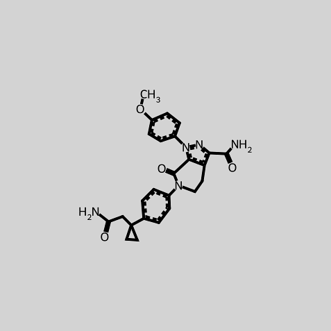 COc1ccc(-n2nc(C(N)=O)c3c2C(=O)N(c2ccc(C4(CC(N)=O)CC4)cc2)CC3)cc1